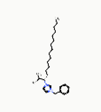 CCCCCCCCCCCCCC[C@@H](C(C)C)n1cc[n+](Cc2ccccc2)c1